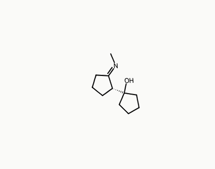 C/N=C1\CCC[C@H]1C1(O)CCCC1